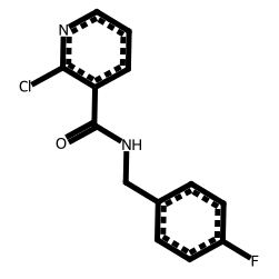 O=C(NCc1ccc(F)cc1)c1cccnc1Cl